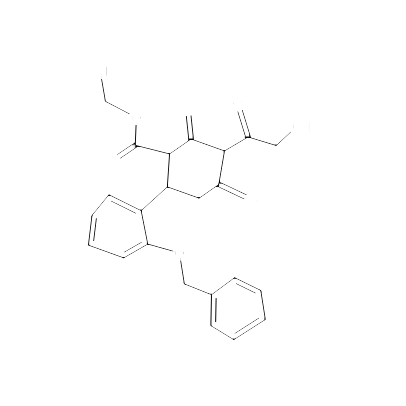 CCOC(=O)C1C(=O)C(C(=O)CC)C(=O)CC1c1ccccc1OCc1ccccc1